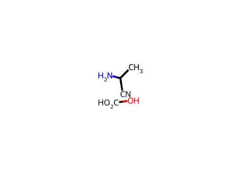 CC(N)C#N.O=C(O)O